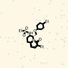 CCc1ccc2n(c1=O)[C@@H](COC1CCC(CC)CC1)[C@@H](NS(=O)(=O)CC)CC2